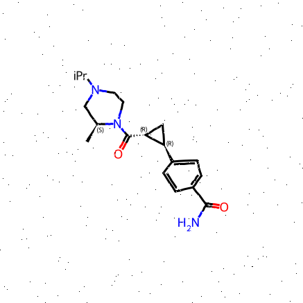 CC(C)N1CCN(C(=O)[C@@H]2C[C@H]2c2ccc(C(N)=O)cc2)[C@@H](C)C1